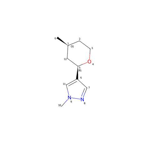 C[C@H]1CCO[C@@H](c2cnn(C)c2)C1